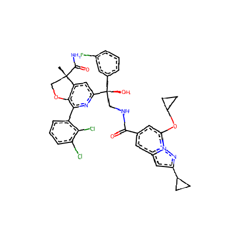 C[C@]1(C(N)=O)COc2c1cc([C@@](O)(CNC(=O)c1cc(OC3CC3)n3nc(C4CC4)cc3c1)c1cccc(F)c1)nc2-c1cccc(Cl)c1Cl